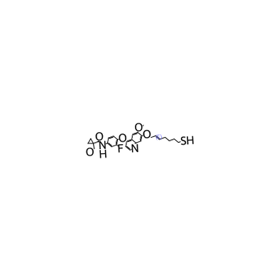 COc1cc2c(Oc3ccc(NC(=O)C4(C=O)CC4)cc3F)ccnc2cc1OC/C=C/CCCCS